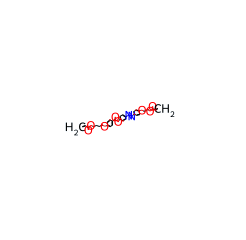 C=CC(=O)OCCCCOc1ccc(C(=O)Oc2ccc(/N=N/c3ccc(OCCOC(=O)C=C)cc3)cc2)cc1